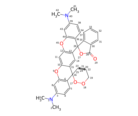 CN(C)c1ccc2c(c1)Oc1cc3c(cc1C21OOCc2ccccc21)C1(OC(=O)c2ccccc21)c1ccc(N(C)C)cc1O3